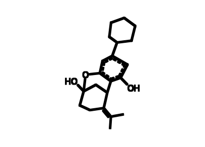 CC(C)=C1CCC2(O)CC1c1c(O)cc(C3CCCCC3)cc1O2